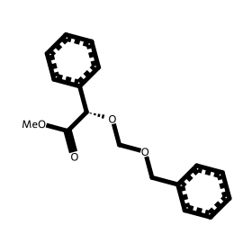 COC(=O)[C@@H](OCOCc1ccccc1)c1ccccc1